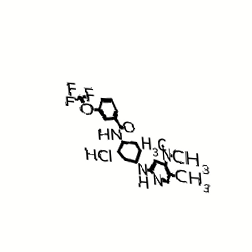 Cc1cnc(N[C@H]2CC[C@@H](NC(=O)c3cccc(OC(F)(F)F)c3)CC2)cc1N(C)C.Cl